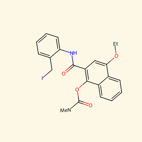 CCOc1cc(C(=O)Nc2ccccc2CI)c(OC(=O)NC)c2ccccc12